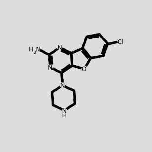 Nc1nc(N2CCNCC2)c2oc3cc(Cl)ccc3c2n1